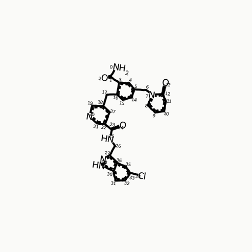 NC(=O)c1cc(Cn2ccccc2=O)ccc1Cc1cncc(C(=O)NCc2n[nH]c3ccc(Cl)cc23)c1